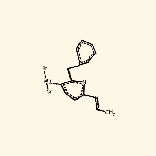 [Br][Mg][Br].[CH2]C=Cc1ccc(F)c(Cc2ccccc2)n1